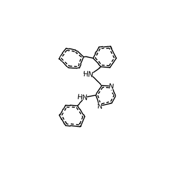 c1ccc(Nc2nccnc2Nc2ccccc2-c2ccccc2)cc1